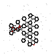 Cc1cccc(C)c1N(c1cc2c3c(c1)N(c1ccccc1)c1cc4c(cc1B3c1ccccc1N2c1ccccc1)B1c2cc3c(cc2N(c2ccccc2)c2cc(N(c5c(C)cccc5C)c5c(C)cccc5C)cc(c21)N4c1ccccc1)N(c1ccccc1)c1cc(N(c2c(C)cccc2C)c2c(C)cccc2C)cc2c1B3c1ccccc1N2c1ccccc1)c1c(C)cccc1C